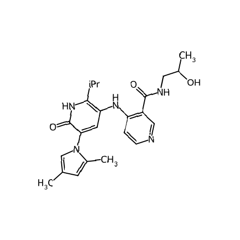 Cc1cc(C)n(-c2cc(Nc3ccncc3C(=O)NCC(C)O)c(C(C)C)[nH]c2=O)c1